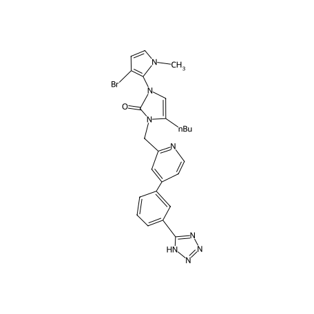 CCCCc1cn(-c2c(Br)ccn2C)c(=O)n1Cc1cc(-c2cccc(-c3nnn[nH]3)c2)ccn1